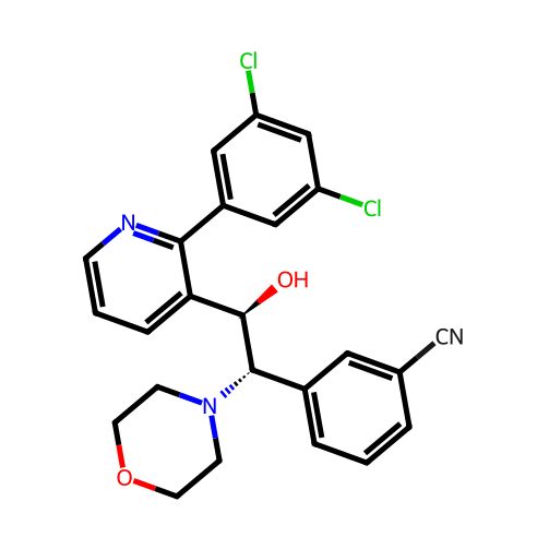 N#Cc1cccc([C@@H]([C@H](O)c2cccnc2-c2cc(Cl)cc(Cl)c2)N2CCOCC2)c1